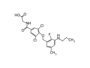 CCCNc1cc(C)cc(COc2c(Cl)cc(C(=O)NCC(=O)O)cc2Cl)c1F